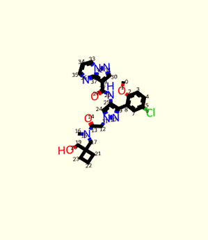 COc1ccc(Cl)cc1-c1nn(CC(=O)N(C)CC2(CO)CCC2)cc1NC(=O)c1cnn2cccnc12